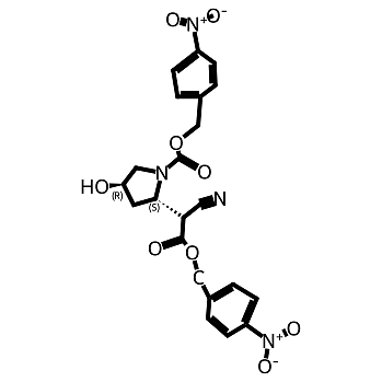 N#CC(C(=O)OCc1ccc([N+](=O)[O-])cc1)[C@@H]1C[C@@H](O)CN1C(=O)OCc1ccc([N+](=O)[O-])cc1